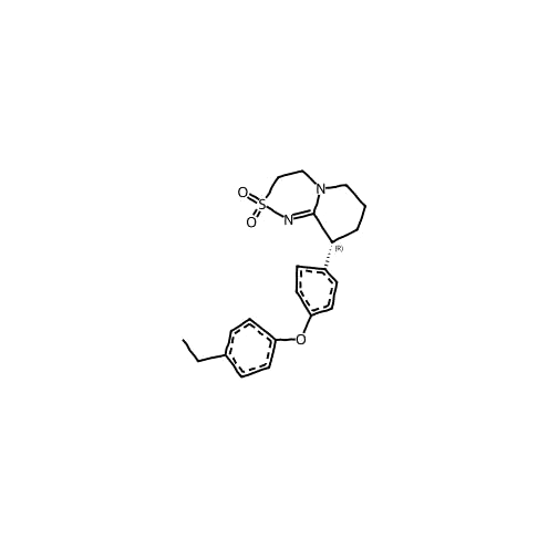 CCc1ccc(Oc2ccc([C@H]3CCCN4CCS(=O)(=O)N=C34)cc2)cc1